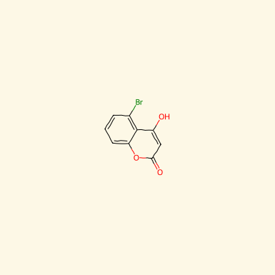 O=c1cc(O)c2c(Br)cccc2o1